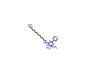 CCCCCCCCCCCCCNC1=NC(N2CCOCC2)=NC(C)(C)N1